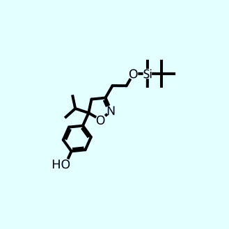 CC(C)C1(c2ccc(O)cc2)CC(CCO[Si](C)(C)C(C)(C)C)=NO1